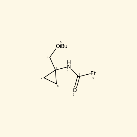 CCC(=O)NC1(COCC(C)C)CC1